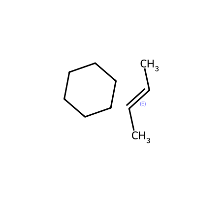 C/C=C/C.C1CCCCC1